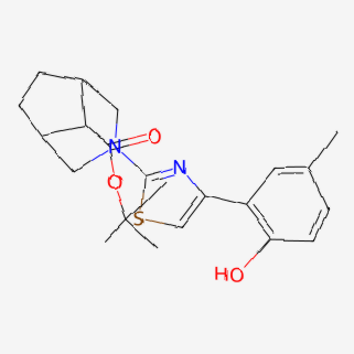 Cc1ccc(O)c(-c2csc(N3CC4CCC(C3)C4C(=O)OC(C)(C)C)n2)c1